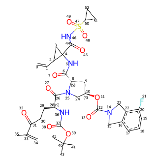 C=CC1CC1(NC(=O)[C@@H]1C[C@@H](OC(=O)N2Cc3cccc(F)c3C2)CN1C(=O)[C@H](CCC(=O)C(=C)C)NC(=O)OC(C)(C)C)C(=O)NS(=O)(=O)C1CC1